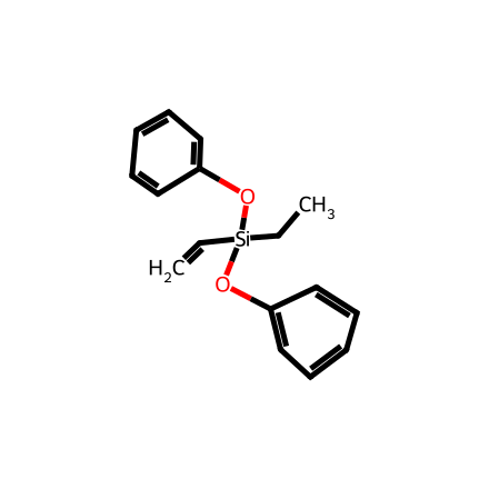 C=C[Si](CC)(Oc1ccccc1)Oc1ccccc1